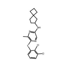 Cc1nc(NC2CCC3(CCC3)C2)cnc1Sc1cccc(Cl)c1Cl